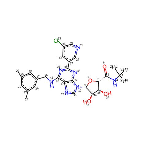 [2H]C([2H])([2H])NC(=O)[C@H]1O[C@@H](n2cnc3c(NCc4cc(C)cc(C)c4)nc(-c4cncc(Cl)c4)nc32)[C@H](O)[C@@H]1O